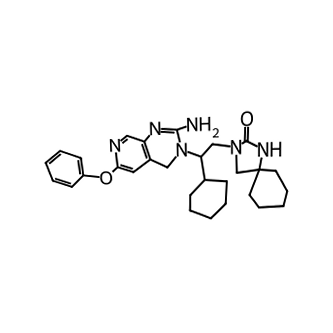 NC1=Nc2cnc(Oc3ccccc3)cc2CN1C(CN1CC2(CCCCC2)NC1=O)C1CCCCC1